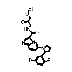 CCOCC(=O)CNC(=O)c1cnc2ccc(N3CCCC3c3cc(F)ccc3F)cn12